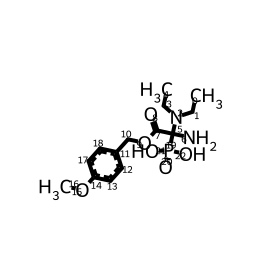 CCN(CC)C(N)(C(=O)OCc1ccc(OC)cc1)P(=O)(O)O